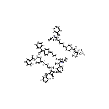 CC(C)(C)OC(=O)N1CCN(CCCCN/C(=N\C#N)Nc2ccncc2)CC1.N#C/N=C(\NCCCCN1CCN(C(=O)c2ccccc2)CC1)Nc1ccncc1.O=C(c1ccccc1)N1CCN(CCCCNc2c(Nc3ccncc3)c(=O)c2=O)CC1